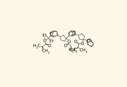 C=CC(=O)OC1(c2cc3cc(C4CCC(OC(=O)C(=C)C)(c5cc6ccc5o6)C4)c2o3)CCC(c2cc3cc(C(CC)(CC)OC(=O)C(=C)C)c2o3)C1